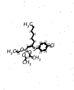 CCCCCC/C(=C/[Si](OCC)(OCC)OCC)Sc1ccc(Cl)cc1